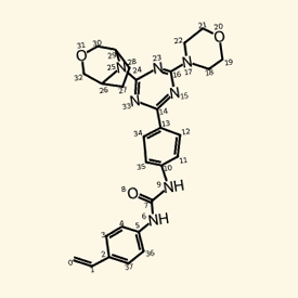 C=Cc1ccc(NC(=O)Nc2ccc(-c3nc(N4CCOCC4)nc(N4C5CCC4COC5)n3)cc2)cc1